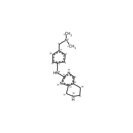 CN(C)Cc1ccc(Nc2ncc3c(n2)CNCC3)cc1